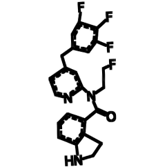 O=C(c1cccc2c1CCN2)N(CCF)c1cc(Cc2cc(F)c(F)c(F)c2)ccn1